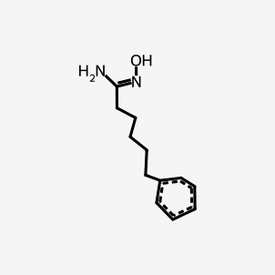 NC(CCCCCc1ccccc1)=NO